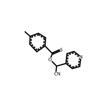 Cc1ccc(C(=S)OC(C#N)c2ccncc2)cc1